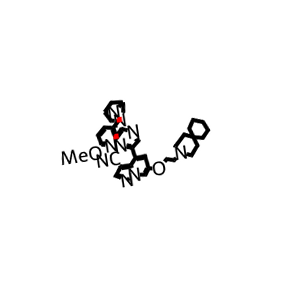 COc1ccc(CN2C3CC2CN(c2cnc(-c4cc(OCCN5CCC6(CCCCC6)CC5)cn5ncc(C#N)c45)cn2)C3)cn1